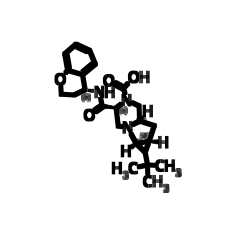 CC(C)(C)C1[C@H]2C[C@@H]3CN(C(=O)O)[C@H](C(=O)N[C@@H]4CCOc5ccccc54)CN3[C@@H]12